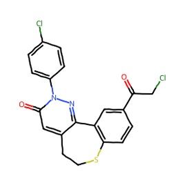 O=C(CCl)c1ccc2c(c1)-c1nn(-c3ccc(Cl)cc3)c(=O)cc1CCS2